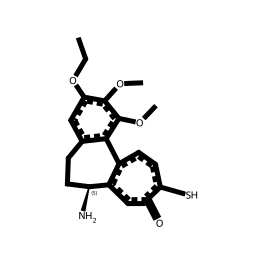 CCOc1cc2c(c(OC)c1OC)-c1ccc(S)c(=O)cc1[C@@H](N)CC2